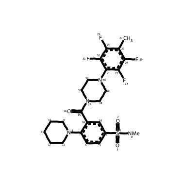 CNS(=O)(=O)c1ccc(N2CCCCC2)c(C(=O)N2CCN(c3c(F)c(F)c(C)c(F)c3F)CC2)c1